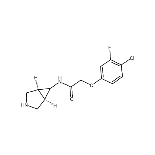 O=C(COc1ccc(Cl)c(F)c1)NC1[C@H]2CNC[C@@H]12